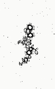 CC(=O)c1cn(CC(=O)N2C[C@H](F)C[C@H]2C(=O)Nc2cccc(-c3ccccc3Cl)c2F)c2ccc(Oc3cnc(C#N)nc3)cc12